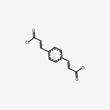 O=C(Cl)/C=C/c1ccc(/C=C/C(=O)Cl)cc1